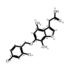 Cc1c(OCc2ccc(Cl)cc2Cl)cc(C)c2c(CC(=O)O)coc12